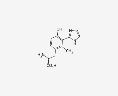 Cc1c(C[C@H](N)C(=O)O)ccc(O)c1-c1ncc[nH]1